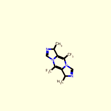 CC1N=CN2C1=C(C(F)(F)F)N1C=NC(C)C1=C2C(F)(F)F